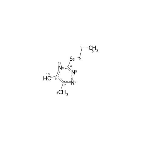 CCCSc1nnc(C)c(O)n1